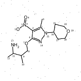 Cc1c([N+](=O)[O-])c(OCC(C)C(C)N)nn1C1CCOCC1